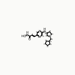 O=C(C=Cc1cnc(N[C@@H]2CCN(CC3CCCC3)C2)cn1)NO